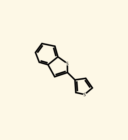 c1ccc2sc(-c3ccsc3)cc2c1